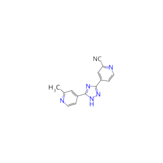 Cc1cc(-c2nc(-c3ccnc(C#N)c3)n[nH]2)ccn1